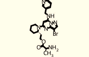 C[C@H](N)C(=O)OCC[C@@H]1CCCCN1c1cc(NCc2cccnc2)n2ncc(Br)c2n1